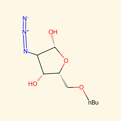 CCCCOC[C@H]1O[C@@H](O)C(N=[N+]=[N-])[C@H]1O